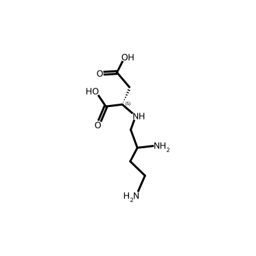 NCCC(N)CN[C@@H](CC(=O)O)C(=O)O